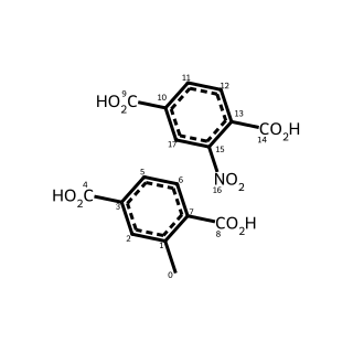 Cc1cc(C(=O)O)ccc1C(=O)O.O=C(O)c1ccc(C(=O)O)c([N+](=O)[O-])c1